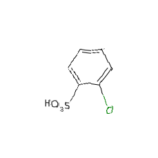 O=S(=O)(O)c1cc[c]cc1Cl